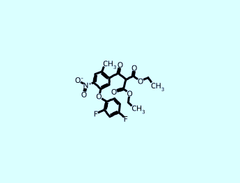 CCOC(=O)C(C(=O)OCC)C(=O)c1cc(Oc2ccc(F)cc2F)c([N+](=O)[O-])cc1C